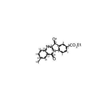 CCOC(=O)c1ccc2c(c1)C(=O)c1nc3ccc(I)cc3c(=O)n1-2